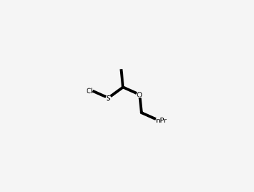 CCCCOC(C)SCl